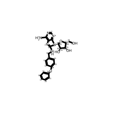 Nc1ncnc2c1nc(NCc1ccc(Oc3ccccc3)cc1)n2[C@@H]1O[C@H](CO)[C@@H](O)[C@H]1O